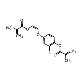 C=C(C)C(=O)O/C=C\Oc1ccc(OC(=O)C(=C)C)c(F)c1